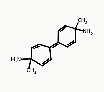 CC1(N)C=CC(=C2C=CC(C)(N)C=C2)C=C1